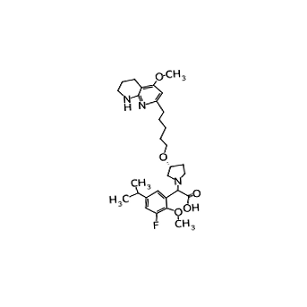 COc1cc(CCCCCO[C@@H]2CCN(C(C(=O)O)c3cc(C(C)C)cc(F)c3OC)C2)nc2c1CCCN2